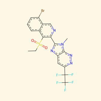 CCS(=O)(=O)c1c(-c2nc3cc(C(F)(F)C(F)(F)F)nnc3n2C)ncc2c(Br)cccc12